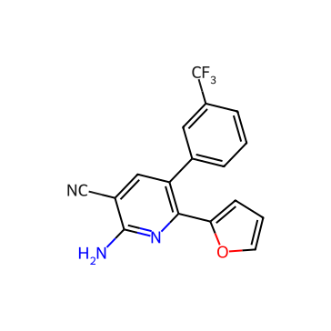 N#Cc1cc(-c2cccc(C(F)(F)F)c2)c(-c2ccco2)nc1N